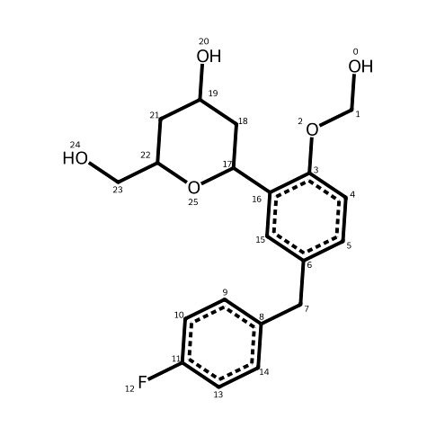 OCOc1ccc(Cc2ccc(F)cc2)cc1C1CC(O)CC(CO)O1